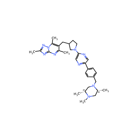 Cc1nc2nc(C)c(CC3CCN(c4cnc(-c5ccc(CN6C[C@@H](C)N(C)C[C@H]6C)cc5)cn4)C3)c(C)n2n1